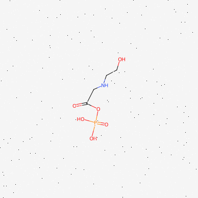 O=C(CNCCO)OP(=O)(O)O